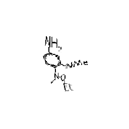 CCON(C)c1ccc(N)cc1NC